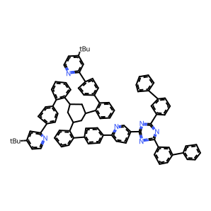 CC(C)(C)c1ccnc(-c2ccc(-c3ccccc3C3CC(c4ccccc4-c4ccc(-c5ccc(-c6nc(-c7cccc(-c8ccccc8)c7)nc(-c7cccc(-c8ccccc8)c7)n6)cn5)cc4)CC(c4ccccc4-c4ccc(-c5cc(C(C)(C)C)ccn5)cc4)C3)cc2)c1